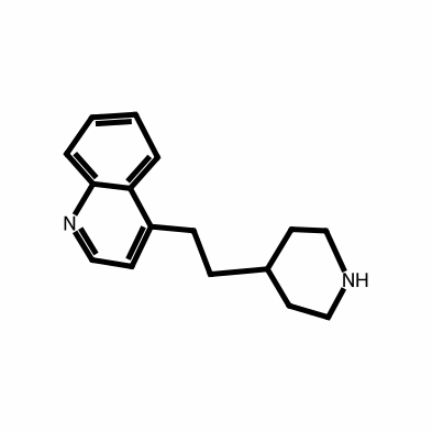 c1ccc2c(CCC3CCNCC3)ccnc2c1